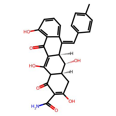 Cc1ccc(/C=C2\c3cccc(O)c3C(=O)C3=C(O)C4C(=O)C(C(N)=O)=C(O)C[C@@H]4[C@@H](O)[C@@H]32)cc1